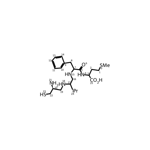 CSCCC(NC(=O)C(Cc1ccccc1)NCC(NC[C@H](N)CS)C(C)C)C(=O)O